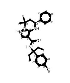 CCC(CC)(NC(=O)c1cnn2c1N[C@H](c1ccccc1)CC2(C)C)c1ccc(Cl)cc1